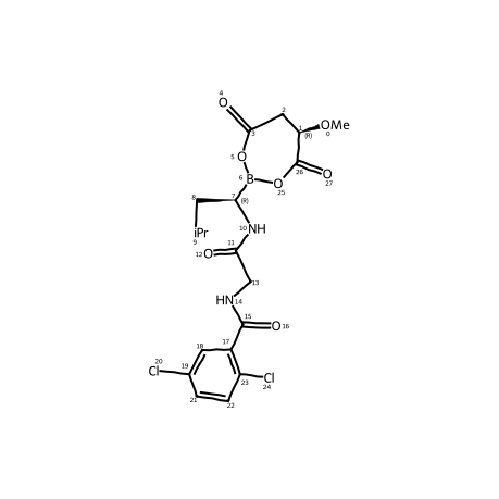 CO[C@@H]1CC(=O)OB([C@H](CC(C)C)NC(=O)CNC(=O)c2cc(Cl)ccc2Cl)OC1=O